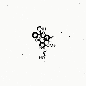 CNC(=O)c1cnc(OCCO)c(OC)c1-c1c(Cl)c(F)cc2c1C[C@](c1ccccc1)([C@@H]1CCCN1)O2